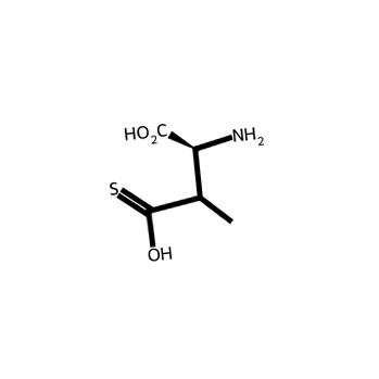 CC(C(O)=S)[C@H](N)C(=O)O